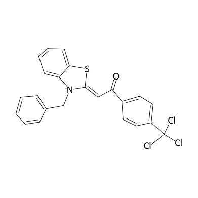 O=C(/C=C1\Sc2ccccc2N1Cc1ccccc1)c1ccc(C(Cl)(Cl)Cl)cc1